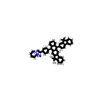 CC1(C)c2ccccc2-c2ccc(-c3c4ccccc4c(-c4ccc(-c5cn6ccccc6n5)cc4)c4cc5c(cc34)-c3ccccc3C5(C)C)cc21